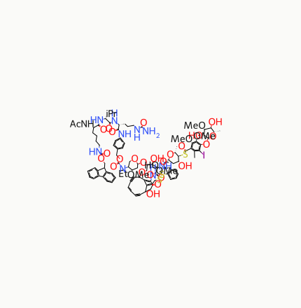 CCN(C(=O)OCc1ccc(NC(=O)[C@@H](CCCNC(N)=O)NC(=O)[C@H](NC(=O)[C@@H](CCCCNC(=O)OCC2c3ccccc3-c3ccccc32)NC(C)=O)C(C)C)cc1)[C@H]1CO[C@@H](O[C@H]2[C@H](O[C@H]3C#CC=CC#C[C@]4(O)CC(=O)C(NC(=O)OC)=C3/C4=C\CSSc3ccccc3C(=O)O)O[C@H](C)[C@@H](NO[C@H]3C[C@H](O)[C@H](SC(=O)c4c(C)c(I)c(O[C@@H]5O[C@@H](C)[C@H](O)[C@@H](OC)[C@H]5O)c(OC)c4OC)[C@@H](C)O3)[C@@H]2O)C[C@@H]1OC